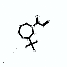 C=CC(=O)N1CCCCC(C(C)(C)C)C1